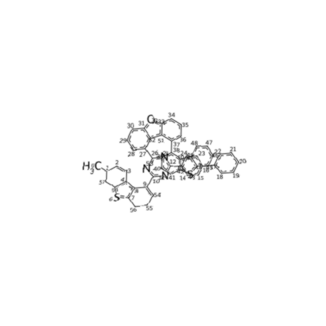 CC1C=Cc2c(sc3c2C(c2nc(-c4ccc(-c5ccccc5)cc4)nc(-c4cccc5oc6cccc(-c7cccc8sc9ccccc9c78)c6c45)n2)=CCC3)C1